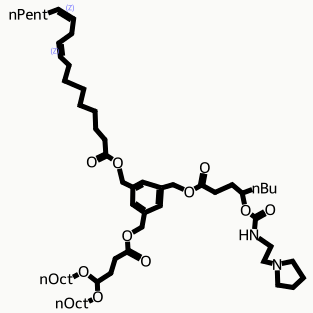 CCCCC/C=C\C/C=C\CCCCCCCC(=O)OCc1cc(COC(=O)CCC(CCCC)OC(=O)NCCN2CCCC2)cc(COC(=O)CCC(OCCCCCCCC)OCCCCCCCC)c1